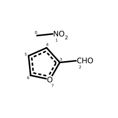 C[N+](=O)[O-].O=Cc1ccco1